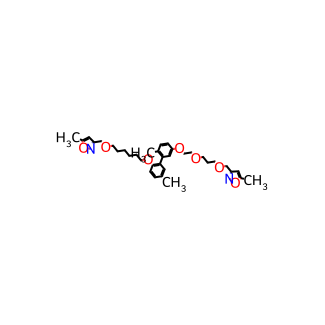 Cc1ccc(OCCCCCCOCc2cc(C)on2)c(-c2cc(OCCOCCCOCc3cc(C)on3)ccc2C)c1